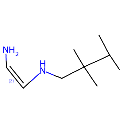 CC(C)C(C)(C)CN/C=C\N